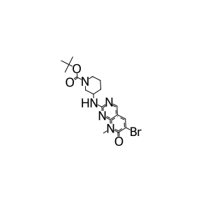 Cn1c(=O)c(Br)cc2cnc(NC3CCCN(C(=O)OC(C)(C)C)C3)nc21